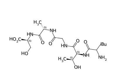 CCC(C)C(N)C(=O)N[C@H](C(=O)NCC(=O)N[C@@H](C)C(=O)N[C@@H](CO)C(=O)O)[C@H](C)O